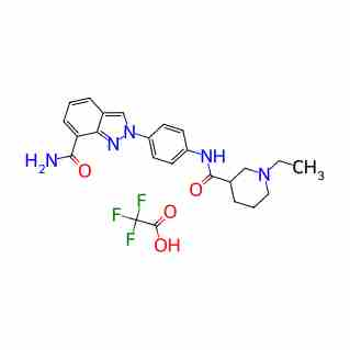 CCN1CCCC(C(=O)Nc2ccc(-n3cc4cccc(C(N)=O)c4n3)cc2)C1.O=C(O)C(F)(F)F